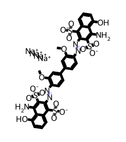 COc1cc(-c2ccc(/N=N/c3c(S(=O)(=O)[O-])c(N)c4c(O)cccc4c3S(=O)(=O)[O-])c(OC)c2)ccc1/N=N/c1c(S(=O)(=O)[O-])c(N)c2c(O)cccc2c1S(=O)(=O)[O-].[Na+].[Na+].[Na+].[Na+]